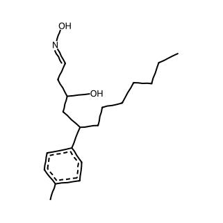 CCCCCCCC(CC(O)CC=NO)c1ccc(C)cc1